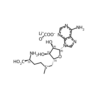 C[S+](CC[C@H](N)C(=O)O)C[C@H]1O[C@@H](n2cnc3c(N)ncnc32)[C@H](O)[C@@H]1O.O=C([O-])[O-].[Li+]